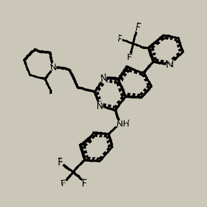 CC1CCCCN1CCc1nc(Nc2ccc(C(F)(F)F)cc2)c2ccc(-c3ncccc3C(F)(F)F)cc2n1